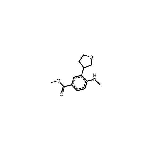 CNc1ccc(C(=O)OC)cc1C1CCOC1